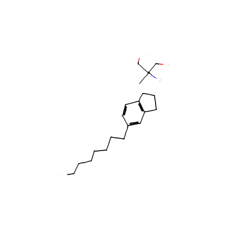 CCCCCCCCc1ccc2c(c1)CC[C@H]2CC(N)(CO)CO